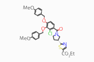 CCOC(=O)c1cnc([C@@H]2CCN(C(=O)c3ccc(OCc4ccc(OC)cc4)c(OCc4ccc(OC)cc4)c3Cl)C2)s1